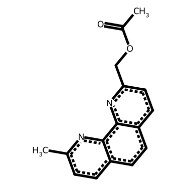 CC(=O)OCc1ccc2ccc3ccc(C)nc3c2n1